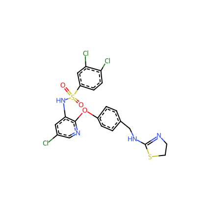 O=S(=O)(Nc1cc(Cl)cnc1Oc1ccc(CNC2=NCCS2)cc1)c1ccc(Cl)c(Cl)c1